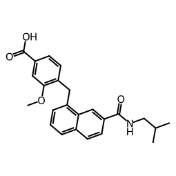 COc1cc(C(=O)O)ccc1Cc1cccc2ccc(C(=O)NCC(C)C)cc12